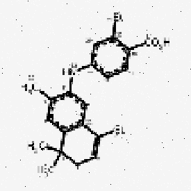 CCC1=CCC(C)(C)c2cc(C)c(Nc3ccc(C(=O)O)c(CC)c3)cc21